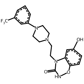 O=C1NOc2ccc(O)cc2N1CCN1CCN(c2cccc(C(F)(F)F)c2)CC1